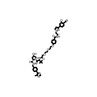 Cc1ncsc1-c1ccc(CNC(=O)[C@@H]2C[C@@H](O)CN2C(=O)C(NC(=O)COCCOCCOc2ccc(C(=O)N[C@@H](C)Cn3ccc(-c4ccc(C#N)c(Cl)c4)n3)cc2)C(C)(C)C)cc1